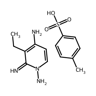 CCc1c(N)ccn(N)c1=N.Cc1ccc(S(=O)(=O)O)cc1